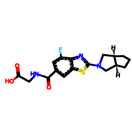 O=C(O)CNC(=O)c1cc(F)c2nc(N3C[C@H]4CCC[C@H]4C3)sc2c1